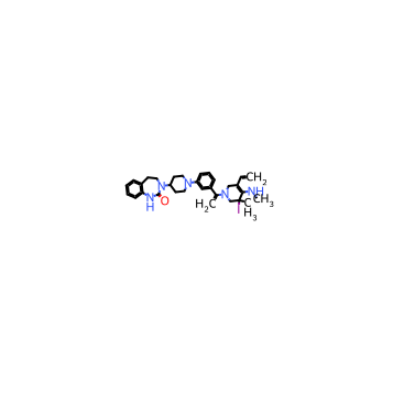 C=CC1=C(NC)C(C)(I)CN(C(=C)c2cccc(N3CCC(N4CCc5ccccc5NC4=O)CC3)c2)C1